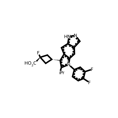 CC(C)c1c([C@H]2C[C@](F)(C(=O)O)C2)c2cc3[nH]ncc3cc2n1-c1ccc(F)c(F)c1